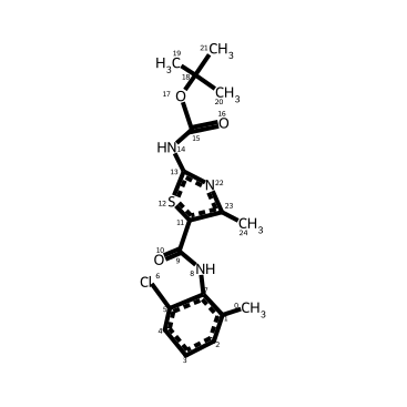 Cc1cccc(Cl)c1NC(=O)c1sc(NC(=O)OC(C)(C)C)nc1C